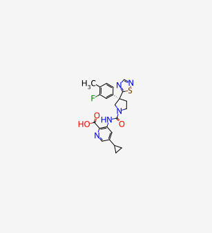 Cc1ccc([C@]2(c3ncns3)CCN(C(=O)Nc3cc(C4CC4)cnc3C(=O)O)C2)cc1F